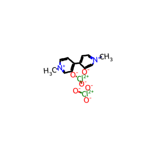 C[n+]1ccc(-c2cc[n+](C)cc2)cc1.[O-][Cl+2]([O-])[O-].[O-][Cl+2]([O-])[O-]